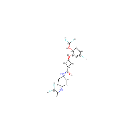 CC(N[C@H]1CC[C@H](NC(=O)[C@H]2C[C@H](Oc3cc(F)ccc3OC(F)F)C2)CC1)C(F)F